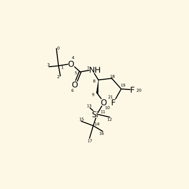 CC(C)(C)OC(=O)N[C@H](CO[Si](C)(C)C(C)(C)C)CC(F)F